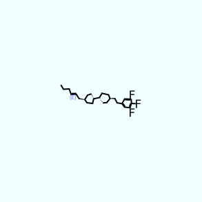 CCC/C=C/C[C@H]1CC[C@H]([C@H]2CC[C@H](CCc3cc(F)c(F)c(F)c3)CC2)CC1